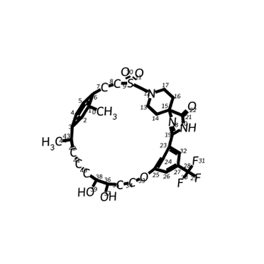 Cc1cc2ccc1CCS(=O)(=O)N1CCC3(CC1)N=C(NC3=O)c1cc(cc(C(F)(F)F)c1)OCCC(O)C(O)CCCC2C